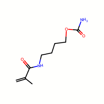 C=C(C)C(=O)NCCCCOC(N)=O